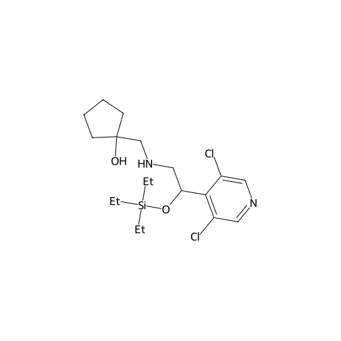 CC[Si](CC)(CC)OC(CNCC1(O)CCCC1)c1c(Cl)cncc1Cl